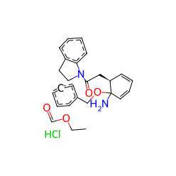 CCOC=O.Cl.NC1(OCc2ccccc2)C=CC=C[C@@H]1CC(=O)N1CCc2ccccc21